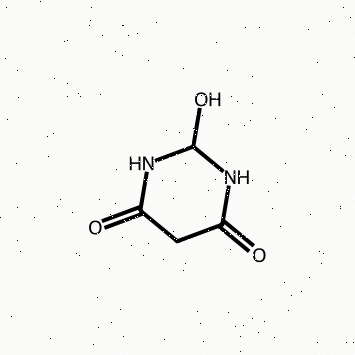 O=C1CC(=O)NC(O)N1